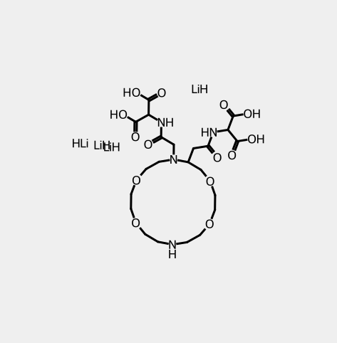 O=C(CC1COCCOCCNCCOCCOCCN1CC(=O)NC(C(=O)O)C(=O)O)NC(C(=O)O)C(=O)O.[LiH].[LiH].[LiH].[LiH]